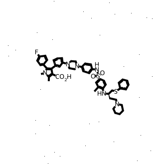 Cc1cc(S(=O)(=O)Nc2ccc(N3CCN(c4cccc(-c5c(C(=O)O)c(C)n(C)c5-c5ccc(F)cc5)c4)CC3)cc2)ccc1N[C@H](CCN1CCCCC1)CSc1ccccc1